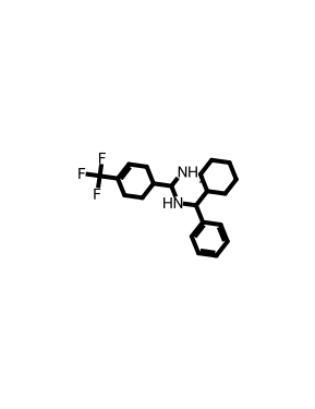 NC(NC(c1ccccc1)C1CCCCC1)C1CC=C(C(F)(F)F)CC1